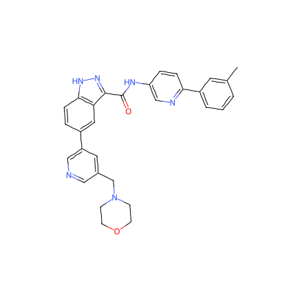 Cc1cccc(-c2ccc(NC(=O)c3n[nH]c4ccc(-c5cncc(CN6CCOCC6)c5)cc34)cn2)c1